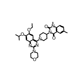 CCOc1cc2c(N3CCC(n4c(=O)c5cc(C)ccc5n(C)c4=O)CC3)nc(N3CCOCC3)nc2cc1OC(C)C